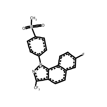 CS(=O)(=O)c1ccc(-n2nc(C(F)(F)F)c3ccc4cc(F)ccc4c32)cc1